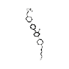 CCC[C@H]1CC[C@H](c2ccc(-c3ccc([C@H]4CC[C@H](CCCCCF)CC4)cc3F)cc2)CC1